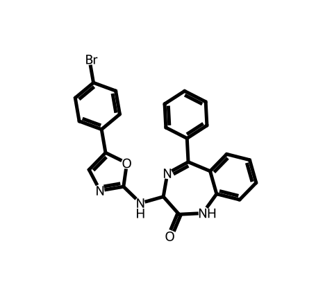 O=C1Nc2ccccc2C(c2ccccc2)=NC1Nc1ncc(-c2ccc(Br)cc2)o1